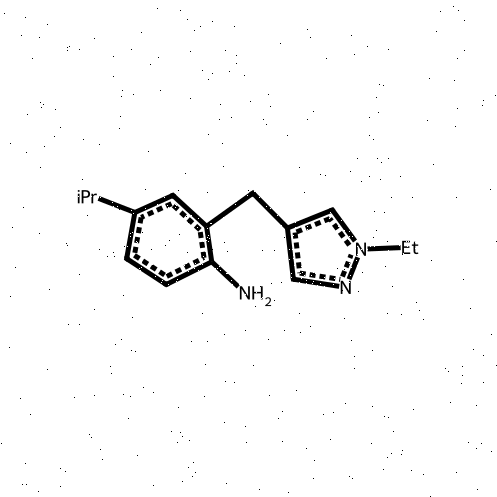 CCn1cc(Cc2cc(C(C)C)ccc2N)cn1